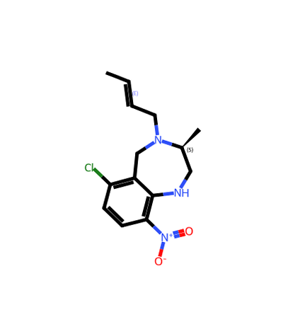 C/C=C/CN1Cc2c(Cl)ccc([N+](=O)[O-])c2NC[C@@H]1C